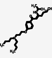 CCCCC(=CC(=O)c1ccc(OCCCN(CCCC)CCCC)cc1)NC(C)C